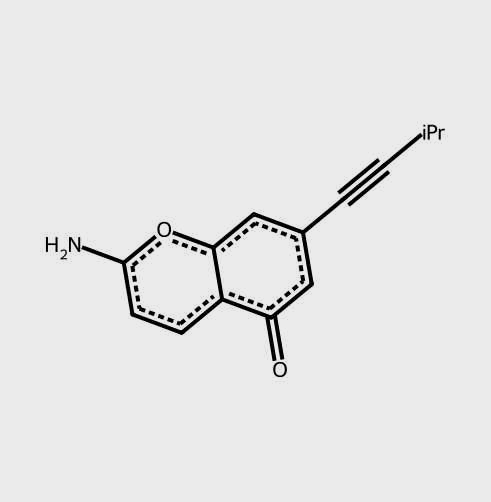 CC(C)C#Cc1cc2oc(N)ccc-2c(=O)c1